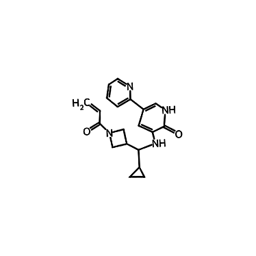 C=CC(=O)N1CC(C(Nc2cc(-c3ccccn3)c[nH]c2=O)C2CC2)C1